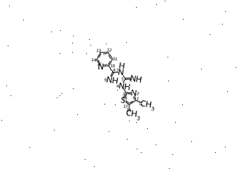 Cc1nc(NC(=N)NC(=N)c2ccccn2)sc1C